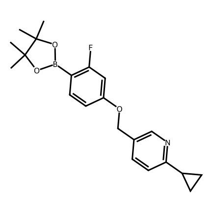 CC1(C)OB(c2ccc(OCc3ccc(C4CC4)nc3)cc2F)OC1(C)C